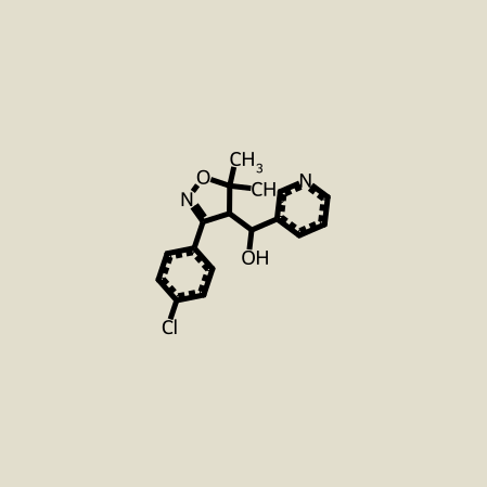 CC1(C)ON=C(c2ccc(Cl)cc2)C1C(O)c1cccnc1